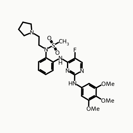 COc1cc(Nc2ncc(F)c(Nc3ccccc3N(CCN3CCCC3)S(C)(=O)=O)n2)cc(OC)c1OC